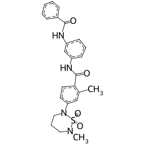 Cc1cc(N2CCCN(C)S2(=O)=O)ccc1C(=O)Nc1cccc(NC(=O)c2ccccc2)c1